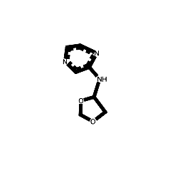 c1cnc(NC2COCO2)cn1